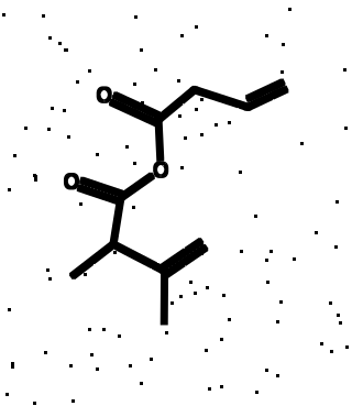 C=CCC(=O)OC(=O)C(C)C(=C)C